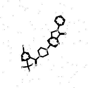 O=C(c1cc(F)ccc1C(F)(F)F)N1CCN(c2cnc3c(c2)CN(c2ccccc2)C3=O)CC1